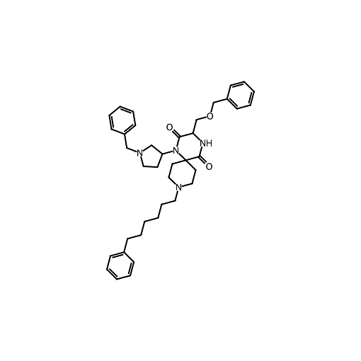 O=C1C(COCc2ccccc2)NC(=O)C2(CCN(CCCCCCc3ccccc3)CC2)N1C1CCN(Cc2ccccc2)C1